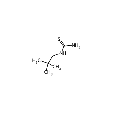 CC(C)(C)CNC(N)=S